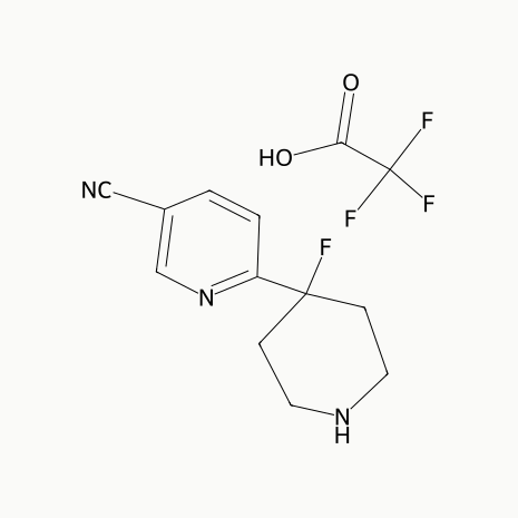 N#Cc1ccc(C2(F)CCNCC2)nc1.O=C(O)C(F)(F)F